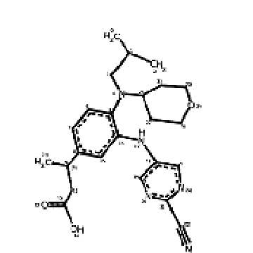 CC(C)CN(c1ccc([C@H](C)CC(=O)O)cc1Nc1cnc(C#N)nc1)C1CCOCC1